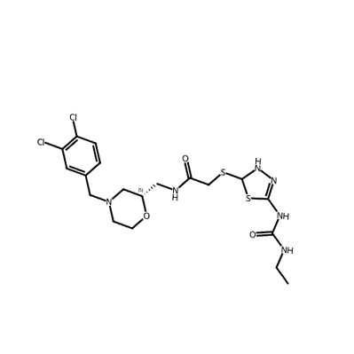 CCNC(=O)NC1=NNC(SCC(=O)NC[C@H]2CN(Cc3ccc(Cl)c(Cl)c3)CCO2)S1